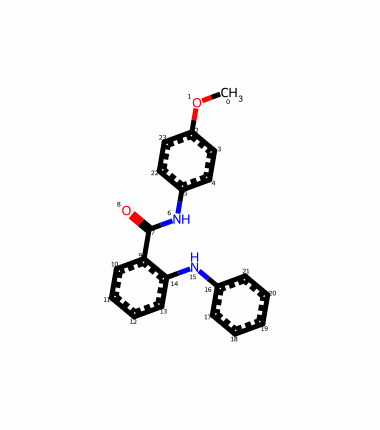 COc1ccc(NC(=O)c2ccccc2Nc2ccccc2)cc1